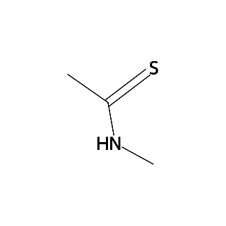 CNC(C)=S